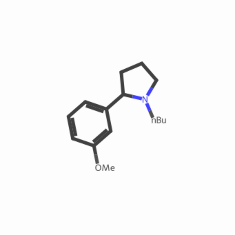 CCCCN1CCCC1c1cccc(OC)c1